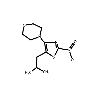 CC(C)Cc1sc([N+](=O)[O-])nc1N1CCOCC1